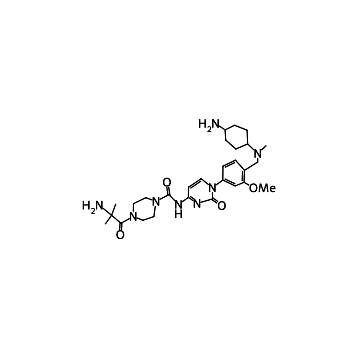 COc1cc(-n2ccc(NC(=O)N3CCN(C(=O)C(C)(C)N)CC3)nc2=O)ccc1CN(C)C1CCC(N)CC1